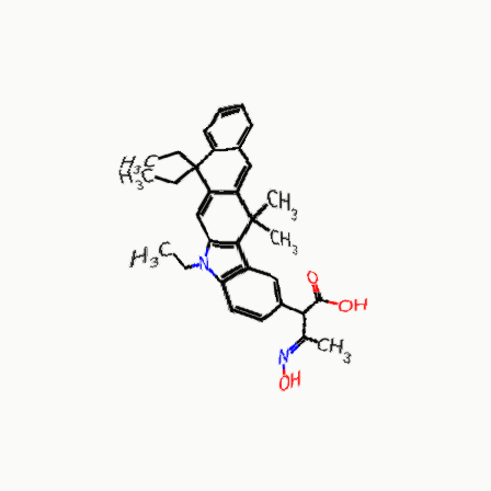 CCn1c2c(c3cc(C(C(=O)O)C(C)=NO)ccc31)C(C)(C)C1=Cc3ccccc3C(CC)(CC)C1=C2